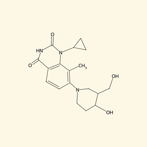 Cc1c(N2CCC(O)C(CO)C2)ccc2c(=O)[nH]c(=O)n(C3CC3)c12